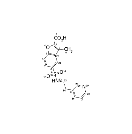 Cc1c(C(=O)O)oc2ccc(S(=O)(=O)NCCc3cccnc3)cc12